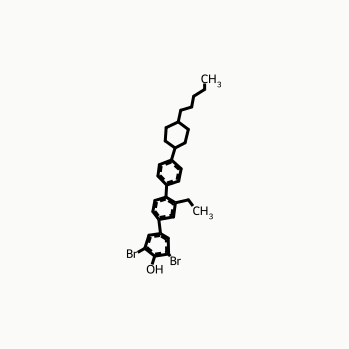 CCCCCC1CCC(c2ccc(-c3ccc(-c4cc(Br)c(O)c(Br)c4)cc3CC)cc2)CC1